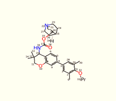 Cc1cc(-c2ccc3c(c2)OCC(C)(C)C3NC(=O)O[C@H]2CN3CCC2CC3)cc(C)c1OC(C)C